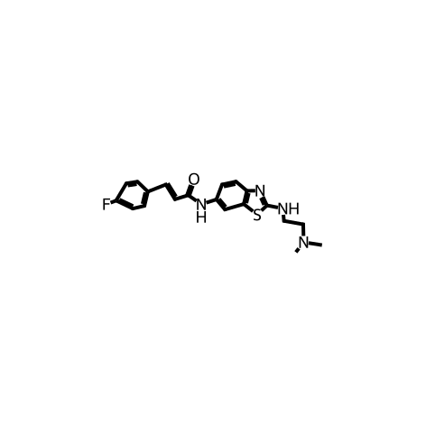 CN(C)CCNc1nc2ccc(NC(=O)C=Cc3ccc(F)cc3)cc2s1